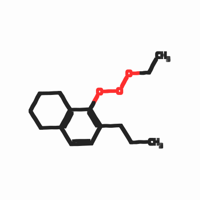 CCCc1ccc2c(c1OOOCC)CCCC2